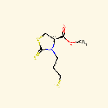 COC(=O)[C@@H]1CSC(=S)N1CCCS